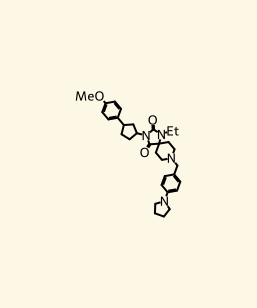 CCN1C(=O)N(C2CCC(c3ccc(OC)cc3)C2)C(=O)C12CCN(Cc1ccc(N3CCCC3)cc1)CC2